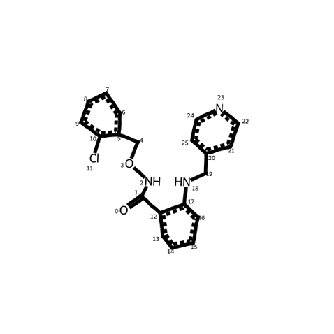 O=C(NOCc1ccccc1Cl)c1ccccc1NCc1ccncc1